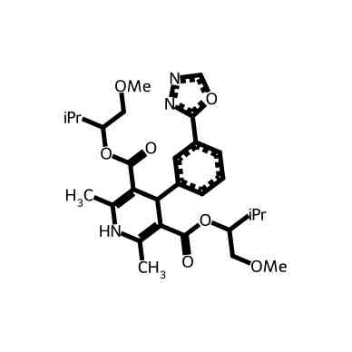 COCC(OC(=O)C1=C(C)NC(C)=C(C(=O)OC(COC)C(C)C)C1c1cccc(-c2nnco2)c1)C(C)C